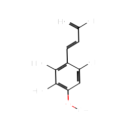 [CH]=C(C)C=Cc1c(C)cc(OC)c(C)c1C